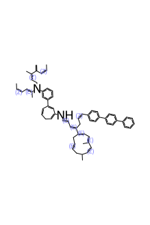 C=C(/C=C\C)/C(C)=C\CN(/C(C)=C/C=C\C)c1cccc(C2=CC(N/C=C/C=C(C/C=C\c3ccc(-c4ccc(-c5ccccc5)cc4)cc3)/C3=C/C=C(C)/C=C\C(C)C/C=C/C3)=CCC=C2)c1